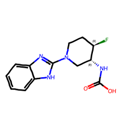 O=C(O)N[C@@H]1CN(c2nc3ccccc3[nH]2)CC[C@H]1F